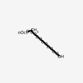 CCCCCCCCOCCC(C)OCCOCCOCCOCCOCCOCCOCCOCCOCCOCCO